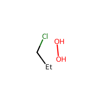 CCCCl.OO